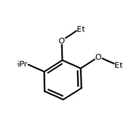 CCOc1cccc([C](C)C)c1OCC